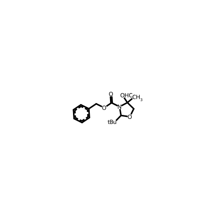 CC(C)(C)C1OCC(C)(C=O)N1C(=O)OCc1ccccc1